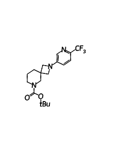 CC(C)(C)OC(=O)N1CCCC2(C1)CN(c1ccc(C(F)(F)F)nc1)C2